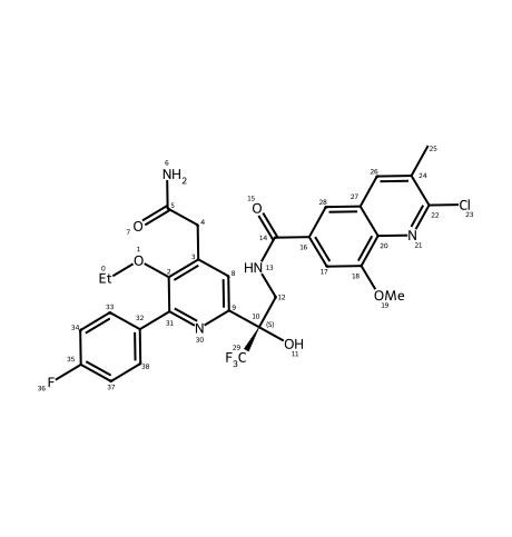 CCOc1c(CC(N)=O)cc([C@@](O)(CNC(=O)c2cc(OC)c3nc(Cl)c(C)cc3c2)C(F)(F)F)nc1-c1ccc(F)cc1